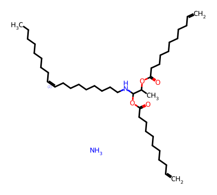 C=CCCCCCCCCC(=O)OC(C)C(NCCCCCCCC/C=C\CCCCCCCC)OC(=O)CCCCCCCCC=C.N